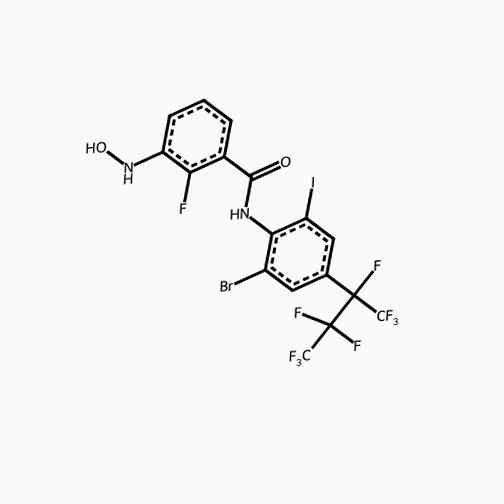 O=C(Nc1c(Br)cc(C(F)(C(F)(F)F)C(F)(F)C(F)(F)F)cc1I)c1cccc(NO)c1F